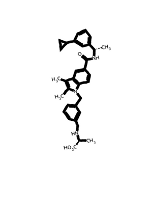 Cc1c(C)n(Cc2cccc(CN[C@@H](C)C(=O)O)c2)c2ccc(C(=O)N[C@@H](C)c3cccc(C4CC4)c3)cc12